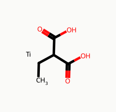 CCC(C(=O)O)C(=O)O.[Ti]